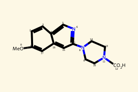 COc1ccc2cnc(N3CCN(C(=O)O)CC3)cc2c1